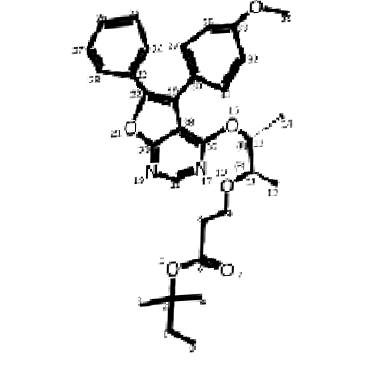 CCC(C)(C)OC(=O)CCO[C@H](C)[C@@H](C)Oc1ncnc2oc(-c3ccccc3)c(-c3ccc(OC)cc3)c12